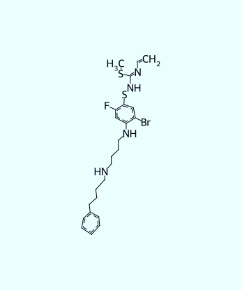 C=C/N=C(/NSc1cc(Br)c(NCCCCNCCCCc2ccccc2)cc1F)SC